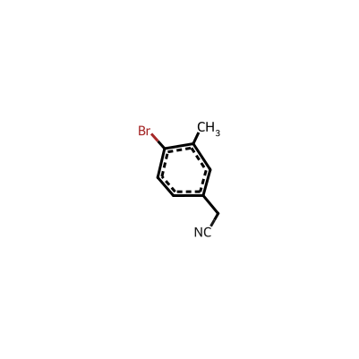 Cc1cc(CC#N)ccc1Br